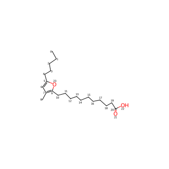 CCCCCc1cc(C)c(CCCCCCCCCCC(=O)O)o1